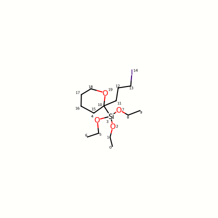 CCO[Si](OCC)(OCC)C1(CCCI)CCCCO1